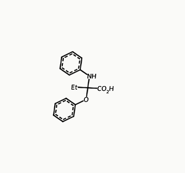 CCC(Nc1ccccc1)(Oc1ccccc1)C(=O)O